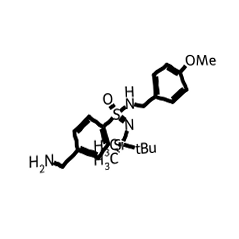 COc1ccc(CNS(=O)(=N[Si](C)(C)C(C)(C)C)c2ccc(CN)cc2)cc1